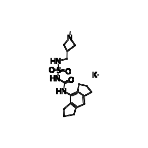 CN1CC(CNS(=O)(=O)NC(=O)Nc2c3c(cc4c2CCC4)CCC3)C1.[K]